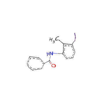 Cc1c(I)cccc1NC(=O)c1ccccc1